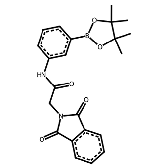 CC1(C)OB(c2cccc(NC(=O)CN3C(=O)c4ccccc4C3=O)c2)OC1(C)C